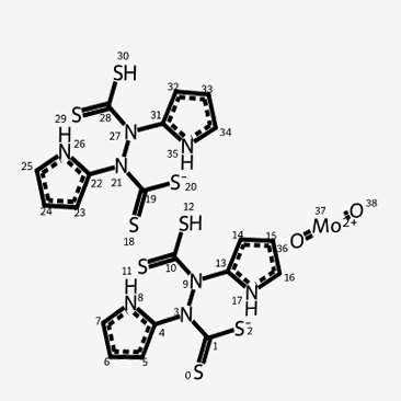 S=C([S-])N(c1ccc[nH]1)N(C(=S)S)c1ccc[nH]1.S=C([S-])N(c1ccc[nH]1)N(C(=S)S)c1ccc[nH]1.[O]=[Mo+2]=[O]